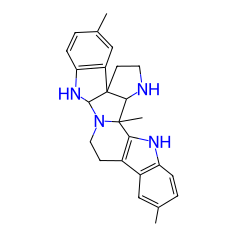 Cc1ccc2c(c1)C13CCNC1C1(C)c4[nH]c5ccc(C)cc5c4CCN1C3N2